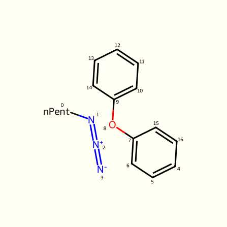 CCCCCN=[N+]=[N-].c1ccc(Oc2ccccc2)cc1